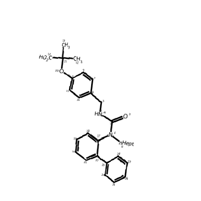 CCCCCCCN(C(=O)NCc1ccc(OC(C)(C)C(=O)O)cc1)c1ccccc1-c1ccccc1